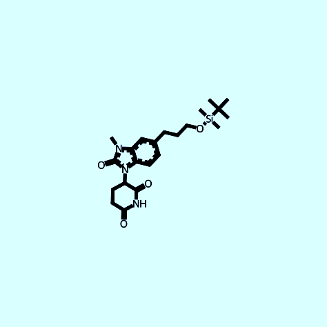 Cn1c(=O)n(C2CCC(=O)NC2=O)c2ccc(CCCO[Si](C)(C)C(C)(C)C)cc21